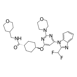 O=C(NCC1CCOCC1)[C@H]1CC[C@H](Oc2cc(-n3c(C(F)F)nc4ccccc43)nc(N3CCOCC3)n2)CC1